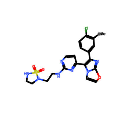 COc1cc(-c2nc3occn3c2-c2ccnc(NCCN3CCNS3(=O)=O)n2)ccc1Cl